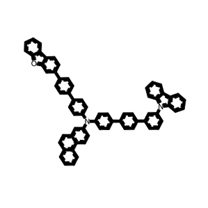 c1cc(-c2ccc(-c3ccc(N(c4ccc(-c5ccc(-c6ccc7c(c6)oc6ccccc67)cc5)cc4)c4ccc5c(ccc6ccccc65)c4)cc3)cc2)cc(-n2c3ccccc3c3ccccc32)c1